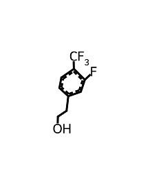 OCCc1ccc(C(F)(F)F)c(F)c1